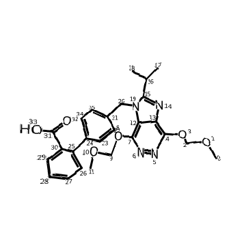 COCOc1nnc(OCOC)c2c1nc(C(C)C)n2Cc1ccc(-c2ccccc2C(=O)O)cc1